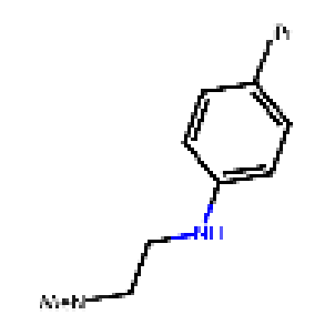 CNCCNc1ccc(C(C)C)cc1